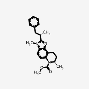 COC(=O)N1c2ccc3c(nc([C@@H](C)Cc4ccccc4)n3C)c2CC[C@@H]1C